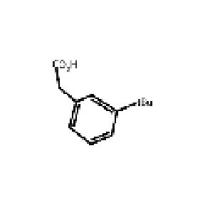 CC(C)(C)c1cccc(CC(=O)O)c1